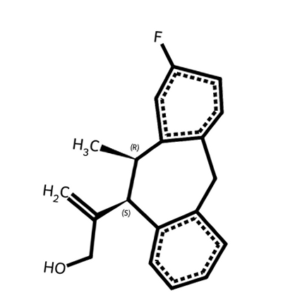 C=C(CO)[C@@H]1c2ccccc2Cc2ccc(F)cc2[C@@H]1C